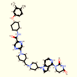 N#Cc1ccc(O[C@H]2CC[C@H](NC(=O)c3cnc(N4CCC(CN5CCC(n6ccc7c(N8CCC(=O)NC8=O)nccc76)CC5)CC4)cn3)CC2)cc1C(F)(F)F